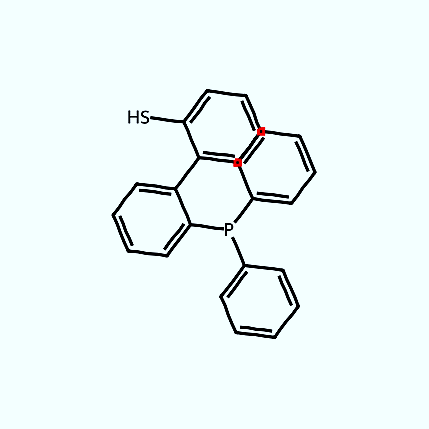 Sc1ccccc1-c1ccccc1P(c1ccccc1)c1ccccc1